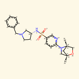 O=S(=O)(N[C@@H]1CCN(Cc2ccccc2)C1)c1ccc(N2C[C@@H]3C[C@H]2CO3)nc1